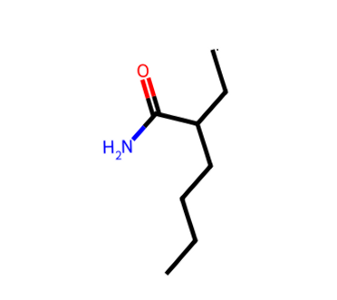 [CH2]CC(CCCC)C(N)=O